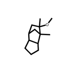 COC1(C)CC2CC1(C)C1CCCC21